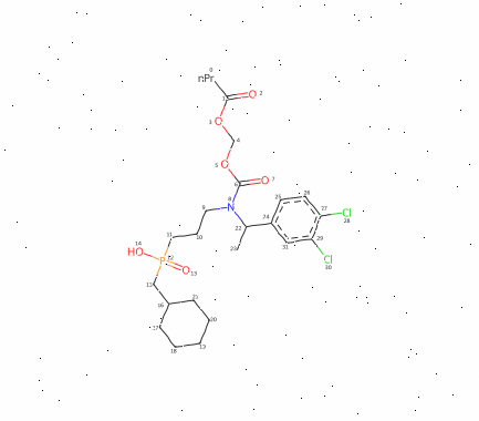 CCCC(=O)OCOC(=O)N(CCCP(=O)(O)CC1CCCCC1)C(C)c1ccc(Cl)c(Cl)c1